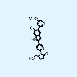 COc1cncc(-c2cc3cc(-c4ccc(N5C(=O)CCC5CO)nc4)[nH]c3cc2Cl)c1